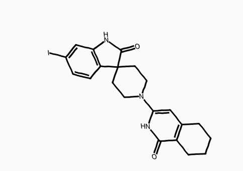 O=C1Nc2cc(I)ccc2C12CCN(c1cc3c(c(=O)[nH]1)CCCC3)CC2